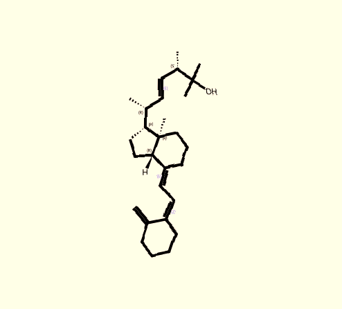 C=C1CCCC/C1=C/C=C1\CCC[C@]2(C)[C@@H]([C@H](C)/C=C/[C@H](C)C(C)(C)O)CC[C@@H]12